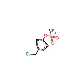 O=S(=O)(Oc1ccc(CCl)cc1)C(F)(F)F